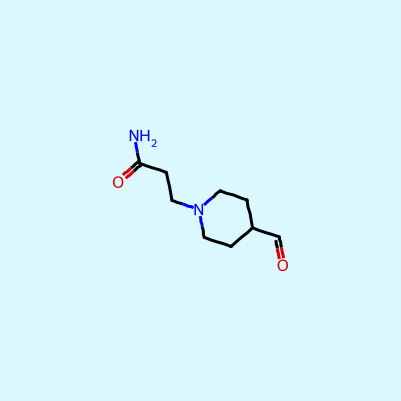 NC(=O)CCN1CCC(C=O)CC1